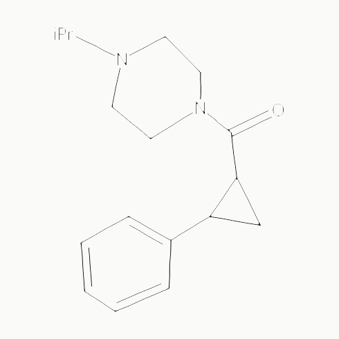 CC(C)N1CCN(C(=O)C2CC2c2ccccc2)CC1